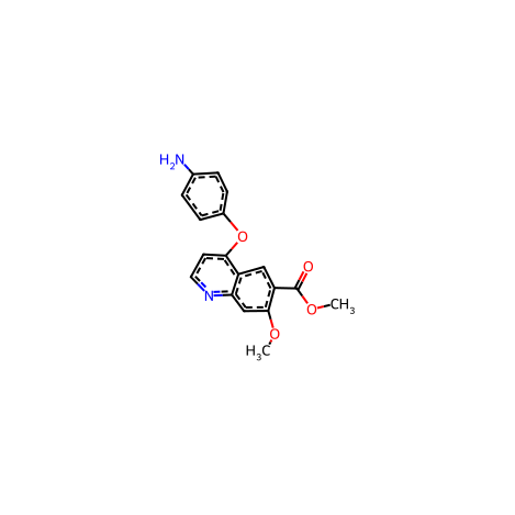 COC(=O)c1cc2c(Oc3ccc(N)cc3)ccnc2cc1OC